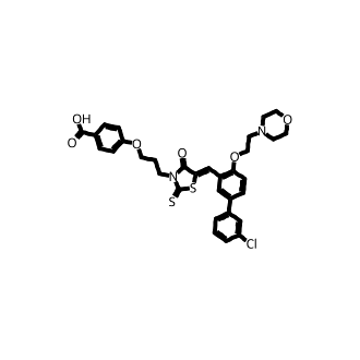 O=C(O)c1ccc(OCCCN2C(=O)C(=Cc3cc(-c4cccc(Cl)c4)ccc3OCCN3CCOCC3)SC2=S)cc1